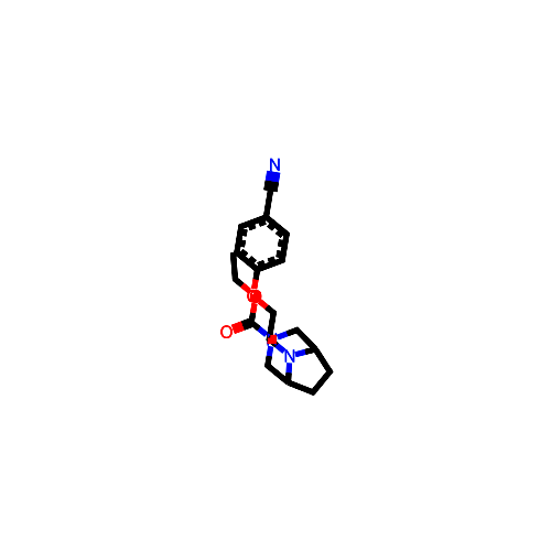 CCOC(=O)N1CC2CCC(C1)N2CCOc1ccc(C#N)cc1